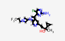 CC(O)(C#Cc1cc2c(-c3nc(N)ncc3F)cn(C3CN(CCC(F)(F)F)C3)c2cn1)C1CC1